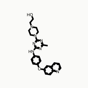 Cc1nc(Nc2ccc(Oc3ccc4ncccc4c3)cc2)nc(N2CCN(CCO)CC2)n1